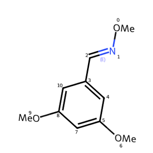 CO/N=C/c1cc(OC)cc(OC)c1